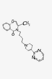 CC1=COc2ccccc2C(=O)N1CCCCN1CC=C(c2ncccn2)CC1